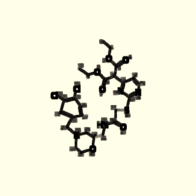 CCOC(=O)C(C(=O)OCC)c1ccnc(SCC(=O)NC[C@H]2CN(Cc3ccc(Cl)c(Cl)c3)CCO2)n1